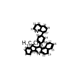 CC1(C)c2ccccc2-c2nc3ccc4ccccc4c3c(-c3ccc(-c4cccc5cccnc45)cc3)c21